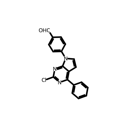 O=Cc1ccc(-n2ccc3c(-c4ccccc4)nc(Cl)nc32)cc1